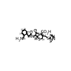 Cn1nnnc1SCC1=C(C(=O)O)N2C(=O)C(NC(=O)Cc3ccccc3CN)[C@H]2SC1